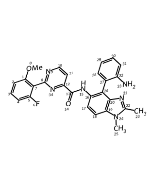 COc1cccc(F)c1-c1nccc(C(=O)Nc2ccc3c(nc(C)n3C)c2-c2ccccc2N)n1